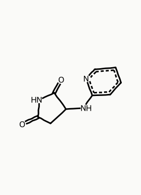 O=C1CC(Nc2ccccn2)C(=O)N1